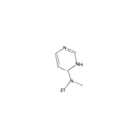 CCN(C)C1C=CN=[C]N1